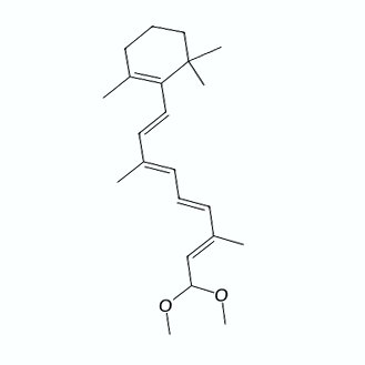 COC(C=C(C)C=CC=C(C)C=CC1=C(C)CCCC1(C)C)OC